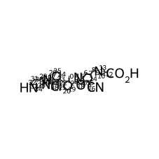 Cc1c(-c2nc3cc(CN4CC(C(=O)O)C4)cc(C#N)c3o2)cccc1-c1cccc(N2C=C3CCNCC3N2)c1Cl